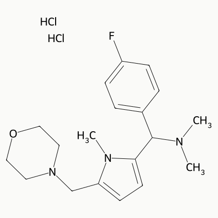 CN(C)C(c1ccc(F)cc1)c1ccc(CN2CCOCC2)n1C.Cl.Cl